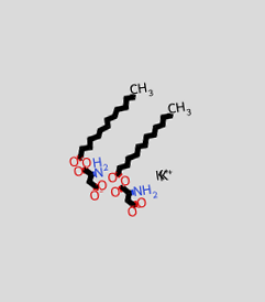 CCCCCCCCCCCCCC(=O)OC(=O)C(N)CC(=O)[O-].CCCCCCCCCCCCCC(=O)OC(=O)C(N)CC(=O)[O-].[K+].[K+]